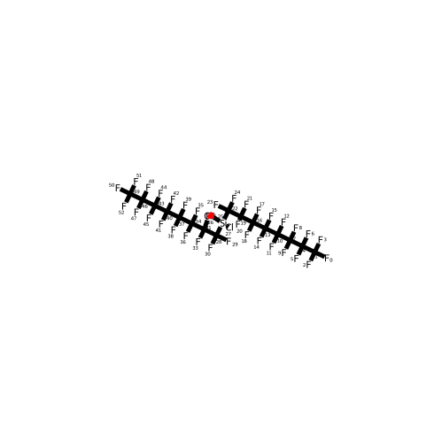 FC(F)(F)C(F)(F)C(F)(F)C(F)(F)C(F)(F)C(F)(F)C(F)(F)C(F)(F)[Si](Cl)(Cl)C(F)(F)C(F)(F)C(F)(F)C(F)(F)C(F)(F)C(F)(F)C(F)(F)C(F)(F)F